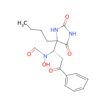 CCCCC1([C@H](CC(=O)c2ccccc2)N(O)C=O)NC(=O)NC1=O